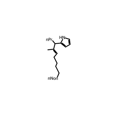 CCCCCCCCCCCCCC=C(C)C(CCC)c1ccc[nH]1